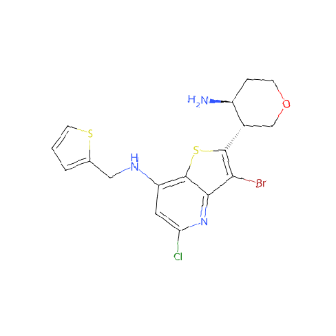 N[C@H]1CCOC[C@@H]1c1sc2c(NCc3cccs3)cc(Cl)nc2c1Br